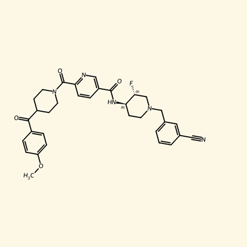 COc1ccc(C(=O)C2CCN(C(=O)c3ccc(C(=O)N[C@@H]4CCN(Cc5cccc(C#N)c5)C[C@H]4F)cn3)CC2)cc1